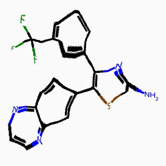 Nc1nc(-c2cccc(C(F)(F)F)c2)c(-c2ccc3nccnc3c2)s1